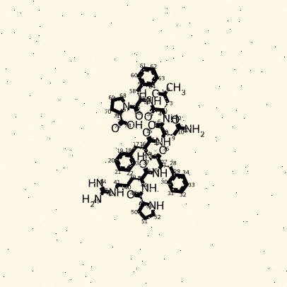 CC(C)C[C@H](NC(=O)[C@H](CC(N)=O)NC(=O)[C@H](Cc1ccccc1)NC(=O)[C@H](Cc1ccccc1)NC(=O)[C@H](CCCNC(=N)N)NC(=O)[C@@H]1CCCN1)C(=O)N[C@@H](Cc1ccccc1)C(=O)N1CCC[C@@H]1C(=O)O